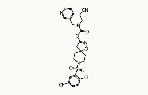 N#CCCN(Cc1cccnc1)C(=O)OC1=NOC2(CCN(S(=O)(=O)c3cc(Cl)ccc3Cl)CC2)C1